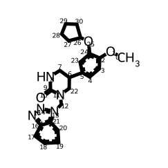 COc1ccc(C2CNC(=O)N(Cn3nnc4ccccc43)C2)cc1OC1CCCC1